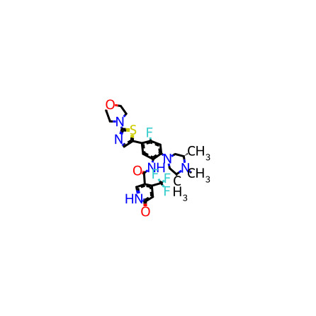 C[C@@H]1CN(c2cc(F)c(-c3cnc(N4CCOCC4)s3)cc2NC(=O)c2c[nH]c(=O)cc2C(F)(F)F)C[C@H](C)N1C